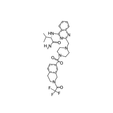 CC(C)[C@H](Nc1nc(CN2CCN(S(=O)(=O)c3ccc4c(c3)CN(C(=O)C(F)(F)F)CC4)CC2)nc2ccccc12)C(N)=O